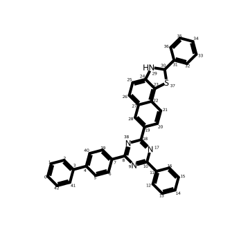 c1ccc(-c2ccc(-c3nc(-c4ccccc4)nc(-c4ccc5c6c(ccc5c4)NC(c4ccccc4)S6)n3)cc2)cc1